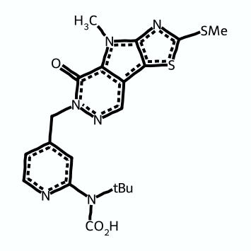 CSc1nc2c(s1)c1cnn(Cc3ccnc(N(C(=O)O)C(C)(C)C)c3)c(=O)c1n2C